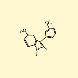 Cc1c(-c2cccc(C(F)(F)F)c2)c2cc(O)ccc2n1C